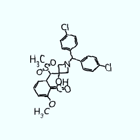 COC1=CC=CC(C(C2(O)CN(C(c3ccc(Cl)cc3)c3ccc(Cl)cc3)C2)S(C)(=O)=O)C1=C=O